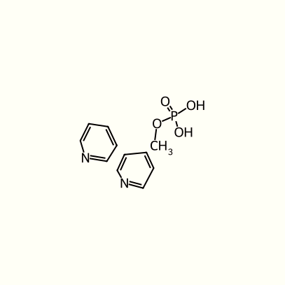 COP(=O)(O)O.c1ccncc1.c1ccncc1